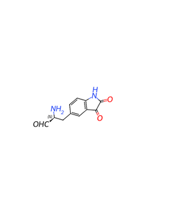 N[C@H](C=O)Cc1ccc2c(c1)C(=O)C(=O)N2